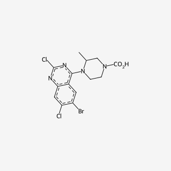 CC1CN(C(=O)O)CCN1c1nc(Cl)nc2cc(Cl)c(Br)cc12